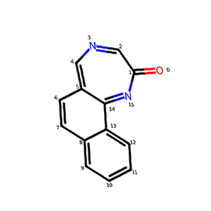 O=c1cncc2ccc3ccccc3c2n1